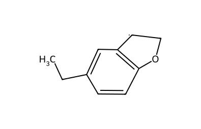 CCc1ccc2c(c1)[CH]CO2